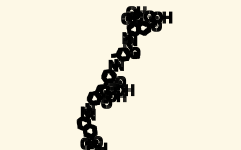 COc1cc(N=Nc2ccc(C=Cc3ccc(-n4n5c6ccc7cc(S(=O)(=O)O)ccc7c6n45)cc3S(=O)(=O)O)c(S(=O)(=O)O)c2)c(C)cc1-n1n2c3cc(S(=O)(=O)O)c4cc(S(=O)(=O)O)ccc4c3n12